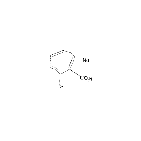 CC(C)c1ccccc1C(=O)O.[Nd]